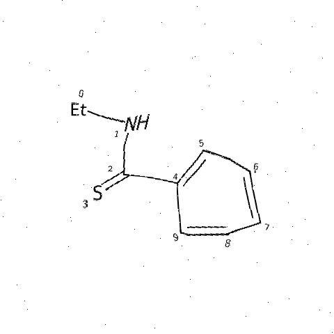 CCNC(=S)c1c[c]ccc1